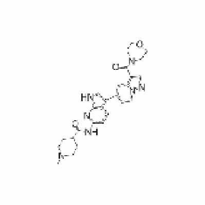 CN1CCC(C(=O)Nc2ccc3c(-c4ccn5ncc(C(=O)N6CCOCC6)c5c4)c[nH]c3n2)CC1